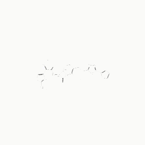 Nc1nc(/C(=N/O)C(=O)N[C@@H]2C(=O)N3C(C(=O)O)=C(CSc4nnc(-c5cccs5)[nH]4)CS[C@H]23)cs1